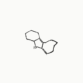 [C]1=C2NC3CCCCC3=C2CCC1